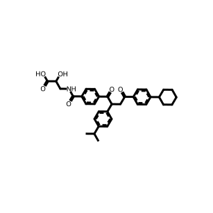 CC(C)c1ccc(C(CC(=O)c2ccc(C3CCCCC3)cc2)C(=O)c2ccc(C(=O)NCC(O)C(=O)O)cc2)cc1